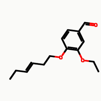 CC/C=C/CCOc1ccc(C=O)cc1OCC